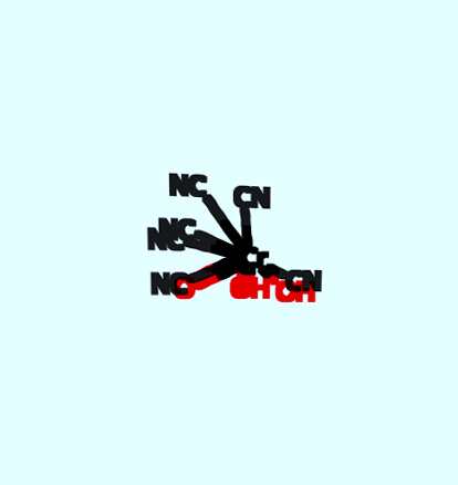 N#[C][Cr](=[O])(=[O])([OH])([OH])([C]#N)([C]#N)([C]#N)([C]#N)[C]#N